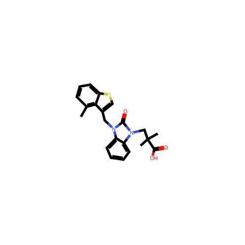 Cc1cccc2scc(Cn3c(=O)n(CC(C)(C)C(=O)O)c4ccccc43)c12